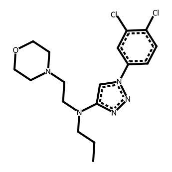 CCCN(CCN1CCOCC1)c1cn(-c2ccc(Cl)c(Cl)c2)nn1